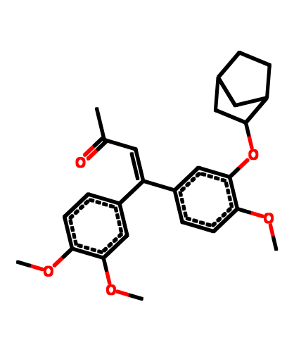 COc1ccc(C(=CC(C)=O)c2ccc(OC)c(OC3CC4CCC3C4)c2)cc1OC